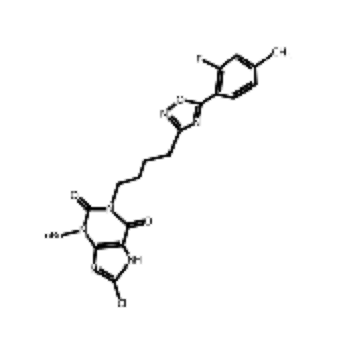 CCCCn1c(=O)n(CCCCc2noc(-c3ccc(C)cc3F)n2)c(=O)c2[nH]c(Cl)nc21